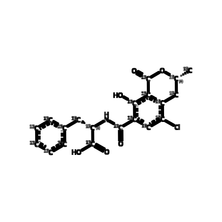 [13CH3][13C@@H]1[13CH2][13c]2[13c](Cl)[13cH][13c]([13C](=O)N[13C@@H]([13CH2][13c]3[13cH][13cH][13cH][13cH][13cH]3)[13C](=O)O)[13c](O)[13c]2[13C](=O)O1